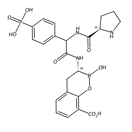 O=C(O)c1cccc2c1OB(O)[C@@H](NC(=O)C(NC(=O)[C@H]1CCCN1)c1ccc(P(=O)(O)O)cc1)C2